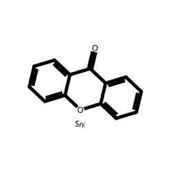 O=c1c2ccccc2oc2ccccc12.[Sn]